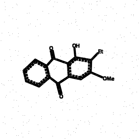 CCc1c(OC)cc2c(c1O)C(=O)c1ccccc1C2=O